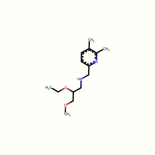 CCOC(CNCc1ccc(C)c(C)n1)COC